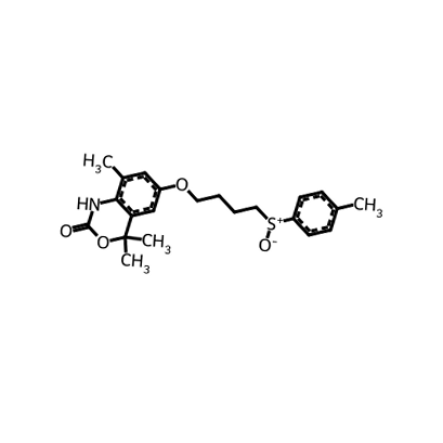 Cc1ccc([S+]([O-])CCCCOc2cc(C)c3c(c2)C(C)(C)OC(=O)N3)cc1